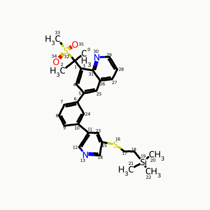 CC(C)(c1cc(-c2cccc(-c3cncc(SCC[Si](C)(C)C)c3)c2)cc2cccnc12)S(C)(=O)=O